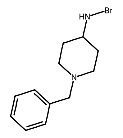 BrNC1CCN(Cc2ccccc2)CC1